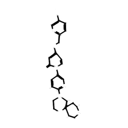 O=c1cc(OCc2ccc(Cl)cn2)ccn1-c1ccc(N2CCOC3(CCNCC3)C2)nc1